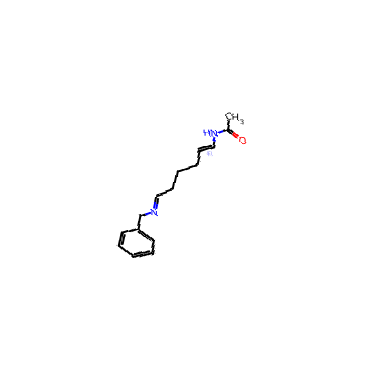 CC(=O)N/C=C/CCCC=NCc1ccccc1